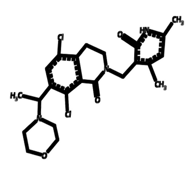 Cc1cc(C)c(CN2CCc3c(Cl)cc(C(C)N4CCOCC4)c(Cl)c3C2=O)c(=O)[nH]1